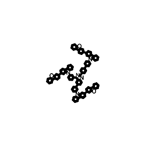 c1cc(-c2ccc3nc(-c4ccc(-c5ccc(-n6c7ccccc7c7ccc(-c8ccc9c(c8)oc8ccccc89)cc76)cc5)cc4)nc(-c4cccc(-n5c6ccccc6c6ccc(-c7ccc8c(c7)oc7ccccc78)cc65)c4)c3c2)cc(-n2c3ccccc3c3ccc(-c4ccc5c(c4)oc4ccccc45)cc32)c1